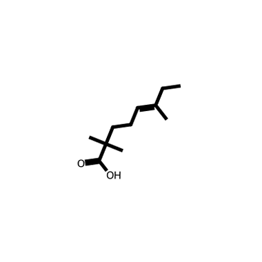 CC/C(C)=C/CCC(C)(C)C(=O)O